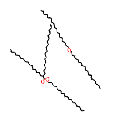 CCCCCCCCCCCCCCCCCCOC(=O)C(CCCCCCCCCCCCCCCC)CCCCCCCCCCCCCCCCCC.CCCCCCCCCCCCCCCCCCOCCCCCCCCCCCCCCCCCC